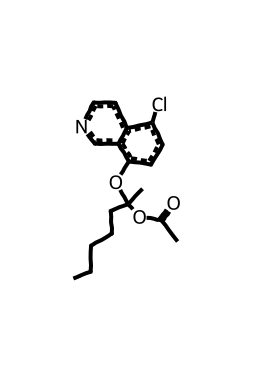 CCCCCC(C)(OC(C)=O)Oc1ccc(Cl)c2ccncc12